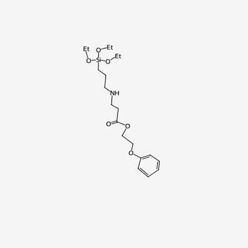 CCO[Si](CCCNCCC(=O)OCCOc1ccccc1)(OCC)OCC